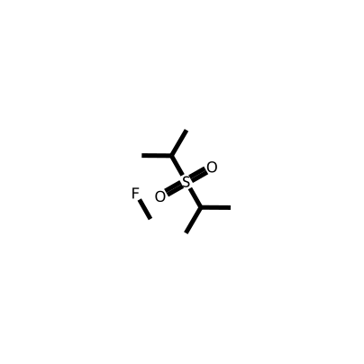 CC(C)S(=O)(=O)C(C)C.CF